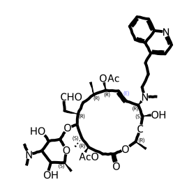 CC(=O)O[C@H]1/C=C/[C@@H](N(C)CCCc2ccnc3ccccc23)[C@@H](O)C[C@@H](C)OC(=O)C[C@@H](OC(C)=O)[C@H](C)C(OC2O[C@@H](C)C(O)C(N(C)C)C2O)[C@@H](CC=O)C[C@H]1C